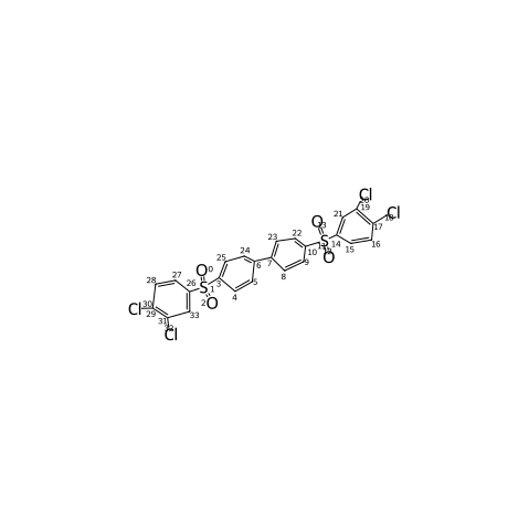 O=S(=O)(c1ccc(-c2ccc(S(=O)(=O)c3ccc(Cl)c(Cl)c3)cc2)cc1)c1ccc(Cl)c(Cl)c1